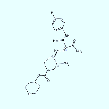 N=C(Nc1ccc(F)cc1)/C(=C\N[C@@H]1CCN(C(=O)OC2CCOCC2)C[C@H]1N)C(N)=O